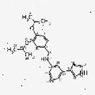 CC(C)Oc1ccc(CNc2cncc(-c3cc[nH]c3)c2)cc1OC(C)C